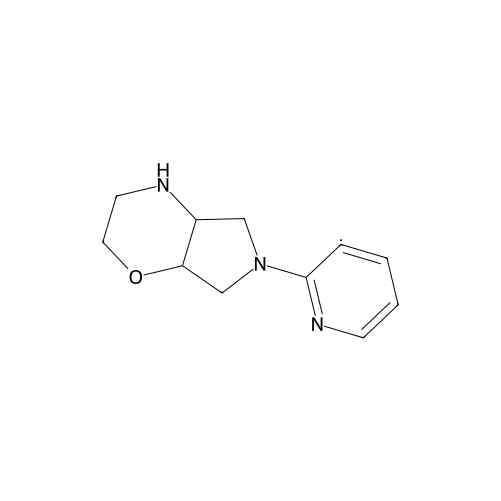 [c]1cccnc1N1CC2NCCOC2C1